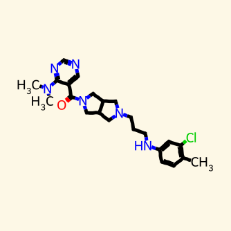 Cc1ccc(NCCCN2CC3CN(C(=O)c4cncnc4N(C)C)CC3C2)cc1Cl